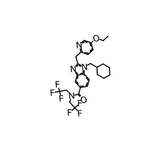 CCOc1ccc(Cc2nc3cc(C(=O)N(CC(F)(F)F)CC(F)(F)F)ccc3n2CC2CCCCC2)nc1